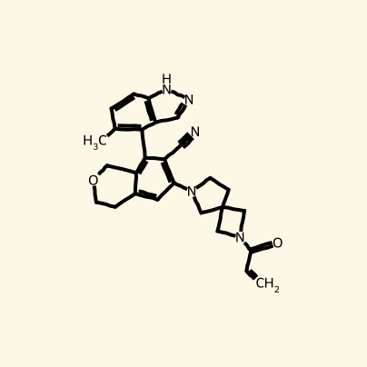 C=CC(=O)N1CC2(CCN(c3cc4c(c(-c5c(C)ccc6[nH]ncc56)c3C#N)COCC4)C2)C1